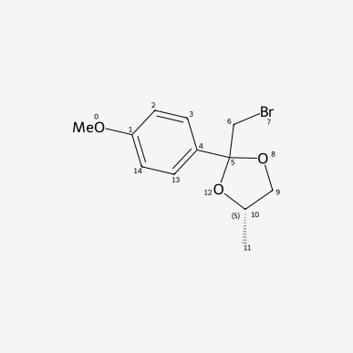 COc1ccc(C2(CBr)OC[C@H](C)O2)cc1